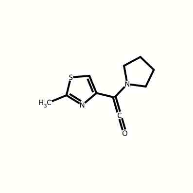 Cc1nc(C(=C=O)N2CCCC2)cs1